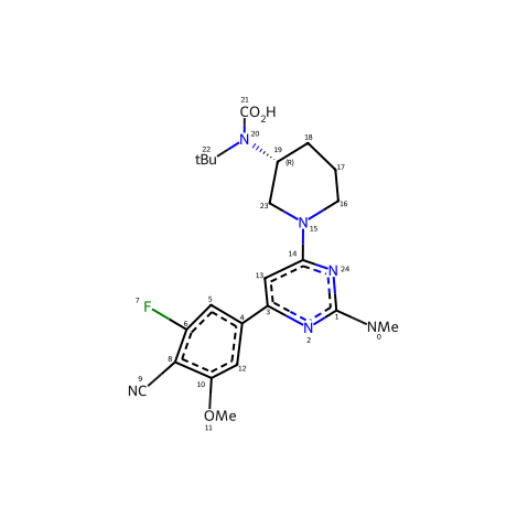 CNc1nc(-c2cc(F)c(C#N)c(OC)c2)cc(N2CCC[C@@H](N(C(=O)O)C(C)(C)C)C2)n1